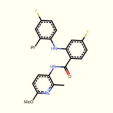 COc1ccc(NC(=O)c2ccc(F)cc2Nc2ccc(F)cc2C(C)C)c(C)n1